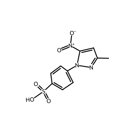 Cc1cc([N+](=O)[O-])n(-c2ccc(S(=O)(=O)O)cc2)n1